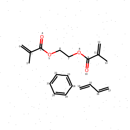 C=C(C)C(=O)OCCOC(=O)C(=C)C.C=CC=C.c1ccccc1